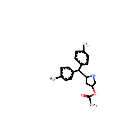 COC(=O)OC1CNC(C(c2ccc(C)cc2)c2ccc(C)cc2)C1